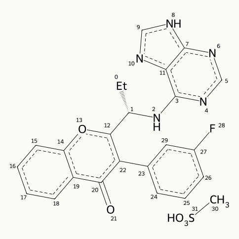 CC[C@H](Nc1ncnc2[nH]cnc12)c1oc2ccccc2c(=O)c1-c1cccc(F)c1.CS(=O)(=O)O